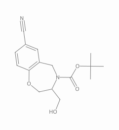 CC(C)(C)OC(=O)N1Cc2cc(C#N)ccc2OCC1CO